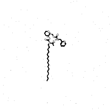 CCCCCCCCCCCCCCCCCN(C(C)=O)C(=O)S[C@H]1CCCO[C@H]1COC(=O)NCc1ccccn1